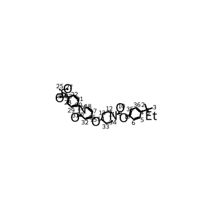 CCC(C)(C)c1ccc(OC(=O)N2CCC(Oc3ccn(-c4ccc(S(C)(=O)=O)cc4)c(=O)c3)CC2)cc1